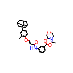 Cc1cc(C23CC4CC(CC(C4)C2)C3)ccc1OC=CC(=O)Nc1cccc(C(=O)OC(C)N2CCOCC2)c1